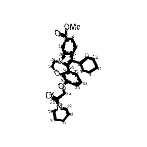 COC(=O)c1ccc2c(C3CCCCC3)c3n(c2c1)CCOc1c(OCC(=O)N2CCCCC2)cccc1-3